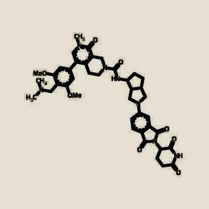 COc1cc(-c2cn(C)c(=O)c3c2CCN(C(=O)NC2CCC4CN(c5ccc6c(c5)C(=O)N(C5CCC(=O)NC5=O)C6=O)CC42)C3)cc(OC)c1CN(C)C